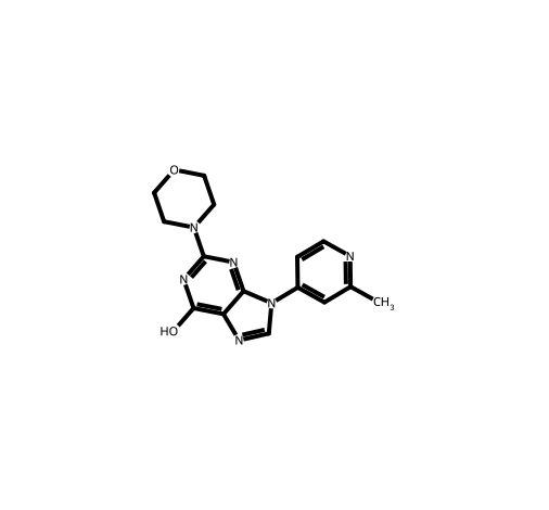 Cc1cc(-n2cnc3c(O)nc(N4CCOCC4)nc32)ccn1